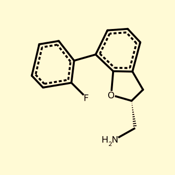 NC[C@H]1Cc2cccc(-c3ccccc3F)c2O1